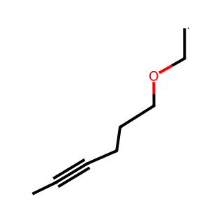 [CH2]COCCCC#CC